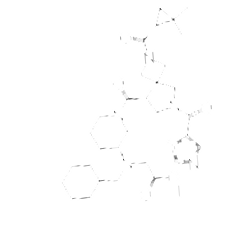 CC1(C)C[C@@H]1C(=O)N1CC2(CN(C(=O)c3cncs3)C[C@H]2C(=O)N2CCC[C@H](N(CC(=O)O)CC3CCCCC3)C2)C1